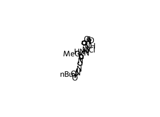 CCCCOC(=O)CN1CCN(C2CCN(c3ccc(Nc4ncc(Cl)c(Nc5ccccc5N(C)S(C)(=O)=O)n4)c(OC)c3)CC2)CC1